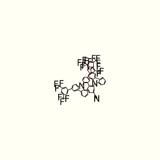 N#Cc1ccc(-c2cc(-c3cc(C(F)(F)F)cc(C(F)(F)F)c3)ccc2-n2c3ccccc3c3cc(-c4cc(C(F)(F)F)cc(C(F)(F)F)c4)ccc32)c(-n2c3ccccc3c3cc(-c4cc(C(F)(F)F)cc(C(F)(F)F)c4)ccc32)c1